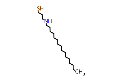 CCCCCCCCCCCCCCCCNCCCS